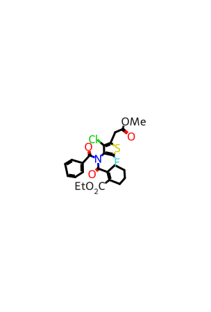 CCOC(=O)C1=C(C(=O)N(C(=O)c2ccccc2)c2c(F)sc(CC(=O)OC)c2Cl)CCCC1